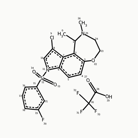 CC1c2c(ccc3c2c(Cl)cn3S(=O)(=O)c2cccc(F)c2)OCCN1C.O=C(O)C(F)(F)F